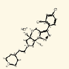 Cl.Clc1ccc(-c2nnn3c2CO[C@H]2CN(CCC4CCOCC4)C[C@@H]23)c(Cl)c1